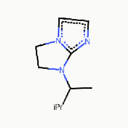 CC(C)C(C)N1CCn2ccnc21